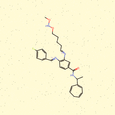 CONOCCCC/C=N/c1cc(C(=O)NC(C)C2=CC=CCC=C2)ccc1/N=C/c1ccc(F)cc1